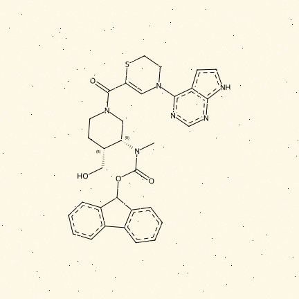 CN(C(=O)OC1c2ccccc2-c2ccccc21)[C@H]1CN(C(=O)C2=CN(c3ncnc4[nH]ccc34)CCS2)CC[C@H]1CO